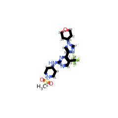 CS(=O)(=O)N1CCC(Nc2ncc(C(F)(F)F)c(-c3cn(C4CCOCC4)cn3)n2)CC1